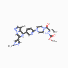 CC(C)C[C@@H](NC(=O)OC(C)(C)C)C(=O)N1CCN(c2ccc(-c3nc(-c4cnn(C)c4)cn4ncc(C#N)c34)cn2)CC1